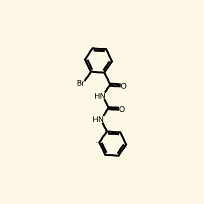 O=C(NC(=O)c1ccccc1Br)Nc1[c]cccc1